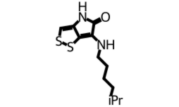 CC(C)CCCCNc1c2sscc-2[nH]c1=O